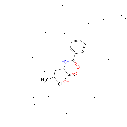 CC(C)CC(NC(=O)c1ccccc1)C(=O)O